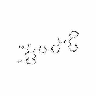 N#Cc1cccc(CN(Cc2ccc(-c3cccc(C(=O)NCC(c4ccccc4)c4ccccc4)c3)cc2)C(=O)C(=O)O)c1